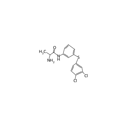 CC(N)C(=O)Nc1cccc(Sc2ccc(Cl)c(Cl)c2)c1